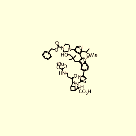 CCn1c(-c2cc(N3CCN(C(=O)OCc4ccccc4)CC3)cnc2[C@H](C)OC)c(CC(C)(C)CO)c2cc(-c3csc(N4[C@H](C(=O)O)C5CC(C5)N4C(=O)CCNC(=O)OC(C)(C)C)n3)ccc21